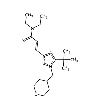 CCN(CC)C(=S)C=Cc1cn(CC2CCOCC2)c(C(C)(C)C)n1